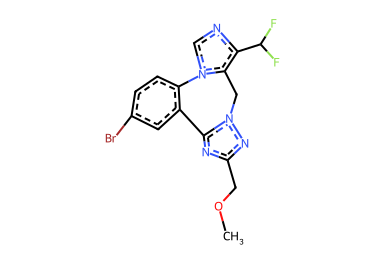 COCc1nc2n(n1)Cc1c(C(F)F)ncn1-c1ccc(Br)cc1-2